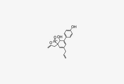 C=CCC1=CC(CC=C)([N+](=O)[O-])C(O)C(c2ccc(O)cc2)=C1